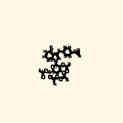 CC(=O)OC[C@H]1OC(n2cc(Cc3ccc(C4CC4)cc3)c3c(F)cccc32)[C@H](OC(C)=O)[C@@H](OC(C)=O)[C@@H]1OC(C)=O